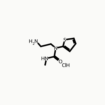 CNC(=O)N(CCN)c1cccs1.Cl